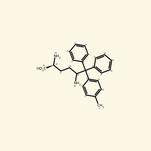 Cc1ccc(C(c2ccccc2)(c2ccccc2)C(N)CC[C@H](N)C(=O)O)cc1